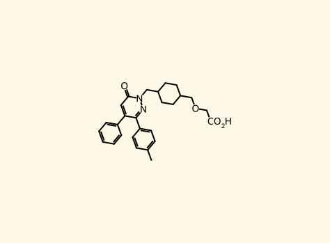 Cc1ccc(-c2nn(CC3CCC(COCC(=O)O)CC3)c(=O)cc2-c2ccccc2)cc1